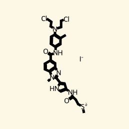 Cc1cc(NC(=O)c2ccc3c(c2)nc(-c2cc(NC(=O)CC[S+](C)C)c[nH]2)n3C)ccc1N(CCCl)CCCl.[I-]